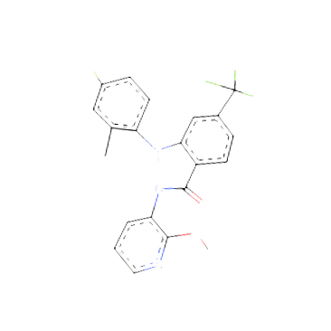 COc1ncccc1NC(=O)c1ccc(C(F)(F)F)cc1Nc1ccc(F)cc1C